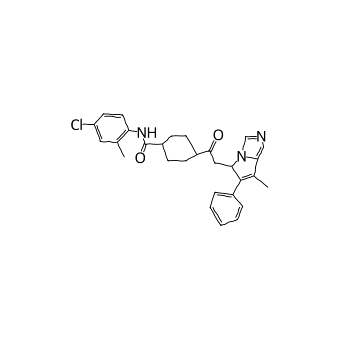 CC1=C(c2ccccc2)C(CC(=O)C2CCC(C(=O)Nc3ccc(Cl)cc3C)CC2)n2cncc21